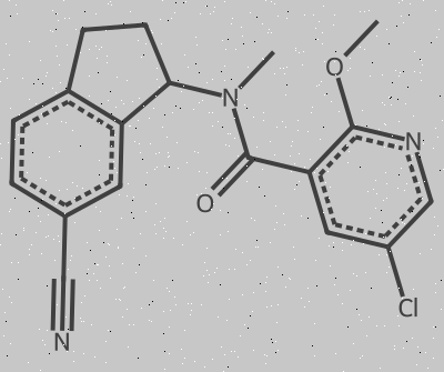 COc1ncc(Cl)cc1C(=O)N(C)C1CCc2ccc(C#N)cc21